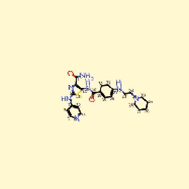 NC(=O)c1nc(Nc2ccncc2)sc1NC(=O)C1=CC=C(NCCN2CCCCC2)CC1